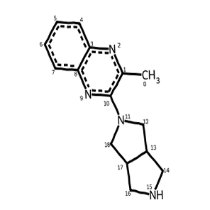 Cc1nc2ccccc2nc1N1CC2CNCC2C1